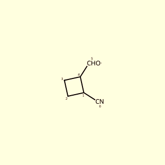 N#CC1CCC1[C]=O